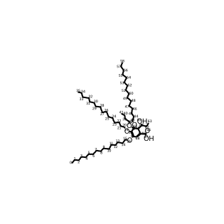 CCCCCCCCCCCCCCCCOC1=C(OCCCCCCCCCCCCCCCC)C(OCCCC)(OCCCCCCCCCCCCCCCC)C(C(O)CC)C(C(=O)O)=C1